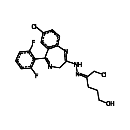 OCCCC(CCl)=NNC1=Nc2ccc(Cl)cc2C(c2c(F)cccc2F)=NC1